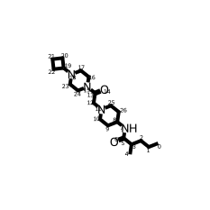 CCCC(C)C(=O)NC1CCN(CC(=O)N2CCN(C3CCC3)CC2)CC1